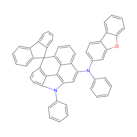 c1ccc(N(c2ccc3c(c2)oc2ccccc23)c2cc3c4c5c(cccc25)C2(c5ccccc5-c5ccccc52)c2cccc(c24)n3-c2ccccc2)cc1